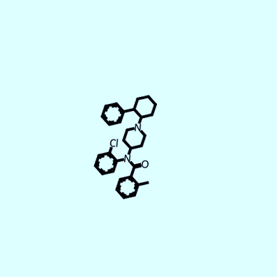 Cc1ccccc1C(=O)N(c1ccccc1Cl)C1CCN(C2CCCCC2c2ccccc2)CC1